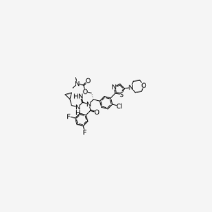 CN(C)C(=O)OC[C@H](c1ccc(Cl)c(-c2ncc(N3CCOCC3)s2)c1)N(C(=N)NCC1CC1)C(=O)c1cc(F)cc(F)c1